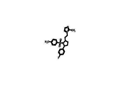 Cc1ccc(S(=O)(=O)N2C(CCn3ccnc3C)CCC2c2ccc(F)cc2)cc1